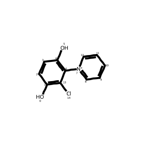 Oc1ccc(O)c(-[n+]2ccccc2)c1Cl